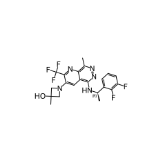 Cc1nnc(N[C@H](C)c2cccc(F)c2F)c2cc(N3CC(C)(O)C3)c(C(F)(F)F)nc12